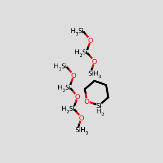 C1CC[SiH2]OC1.[SiH3]O[SiH2]O[SiH2]O[SiH3].[SiH3]O[SiH2]O[SiH3]